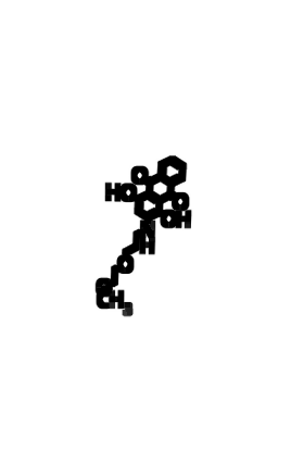 COCCOCCCNc1cc(O)c2c(c1O)C(=O)c1ccccc1C2=O